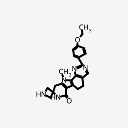 CCOc1ccc(-c2ncc3c(n2)-c2c(c4c(n2C)CC2(CNC2)NC4=O)CC3)cc1